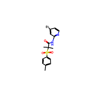 CCc1ccnc(NC(=O)C(C)(C)S(=O)(=O)c2ccc(C)cc2)c1